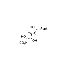 CCCCCC(O)OC(=O)C(O)C(O)C(=O)O